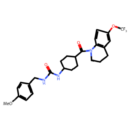 COc1ccc(CNC(=O)NC2CCC(C(=O)N3CCCc4cc(OC(F)(F)F)ccc43)CC2)cc1